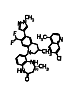 CC1Cc2cc(-c3cnn(C)c3)c(C(F)F)cc2N(c2cccc3c2N[C@H](C)CC(=O)N3)C1.Cc1ccnc2cc(Cl)ccc12